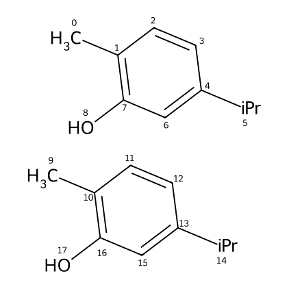 Cc1ccc(C(C)C)cc1O.Cc1ccc(C(C)C)cc1O